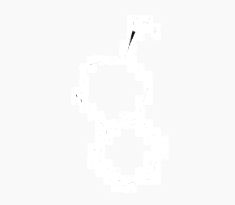 C[C@@H]1C[N]c2ccccc2C1